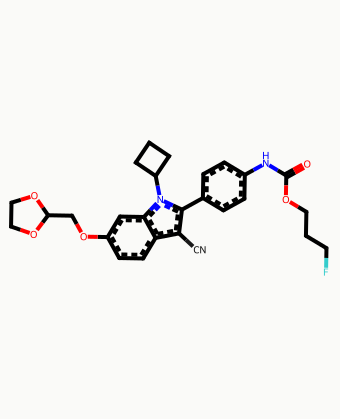 N#Cc1c(-c2ccc(NC(=O)OCCCF)cc2)n(C2CCC2)c2cc(OCC3OCCO3)ccc12